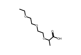 CCOCCOCCOC(C)C(=O)O